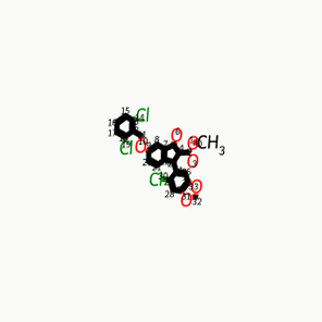 COC(=O)C1C(=O)c2cc(OCc3c(Cl)cccc3Cl)ccc2C1c1cc2c(cc1Cl)OCO2